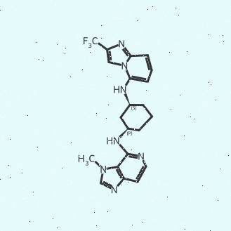 Cn1cnc2ccnc(N[C@@H]3CCC[C@H](Nc4cccc5nc(C(F)(F)F)cn45)C3)c21